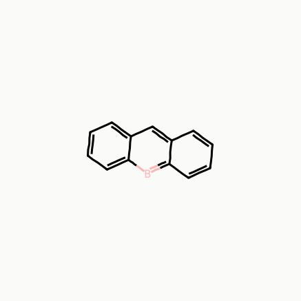 b1c2ccccc2cc2ccccc12